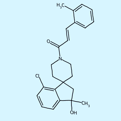 Cc1ccccc1/C=C/C(=O)N1CCC2(CC1)CC(C)(O)c1cccc(Cl)c12